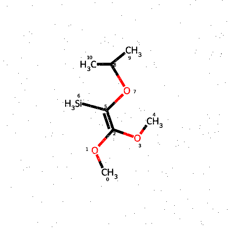 COC(OC)=C([SiH3])OC(C)C